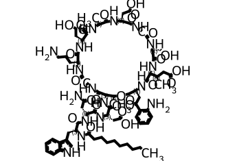 CCCCCCCCCC(=O)N[C@@H](Cc1c[nH]c2ccccc12)C(=O)N[C@H](CC(N)=O)C(=O)N[C@@H](CC(=O)O)C(=O)N[C@@H]1C(=O)NCC(=O)N[C@@H](CCCN)C(=O)N[C@@H](CC(=O)O)C(=O)N[C@H](C)C(=O)N[C@@H](CC(=O)O)C(=O)NCC(=O)N[C@H](CO)C(=O)N[C@@H]([C@H](C)CC(=O)O)C(=O)N[C@@H](CC(=O)c2ccccc2N)C(=O)O[C@@H]1C